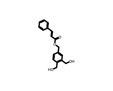 O=C(/C=C/c1ccccc1)OCc1ccc(CO)c(CO)c1